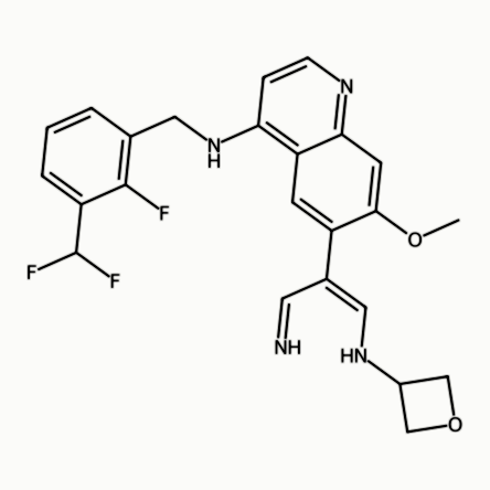 COc1cc2nccc(NCc3cccc(C(F)F)c3F)c2cc1/C(C=N)=C/NC1COC1